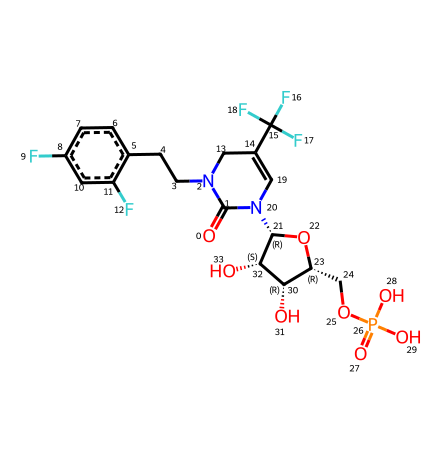 O=C1N(CCc2ccc(F)cc2F)CC(C(F)(F)F)=CN1[C@@H]1O[C@H](COP(=O)(O)O)[C@H](O)[C@@H]1O